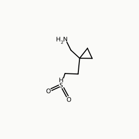 NCC1(CC[SH](=O)=O)CC1